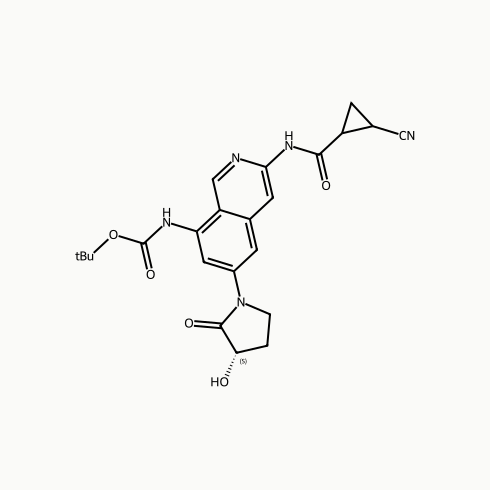 CC(C)(C)OC(=O)Nc1cc(N2CC[C@H](O)C2=O)cc2cc(NC(=O)C3CC3C#N)ncc12